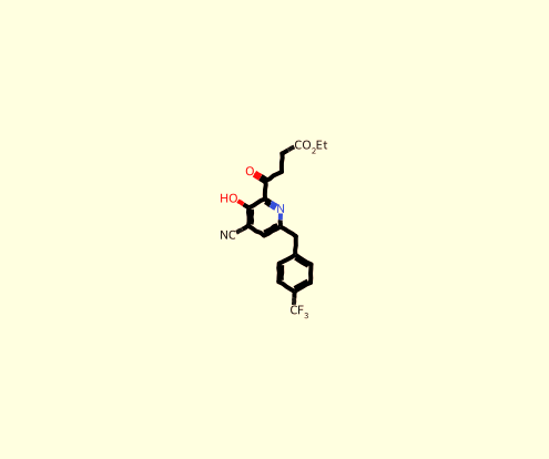 CCOC(=O)CCC(=O)c1nc(Cc2ccc(C(F)(F)F)cc2)cc(C#N)c1O